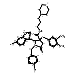 Cc1ccc(SC2(C(=O)NCCCN3CCOCC3)CC(=O)N(Cc3ccc(Br)cc3)C2c2c[nH]c3cc(Cl)ccc23)cc1C